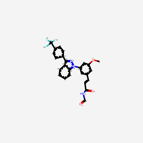 COc1cc(C=CC(=O)NC=O)cc(-n2nc(-c3ccc(C(F)(F)F)cc3)c3ccccc32)c1